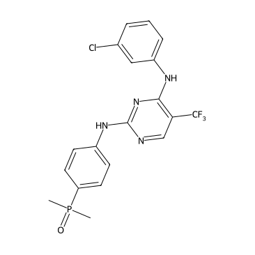 CP(C)(=O)c1ccc(Nc2ncc(C(F)(F)F)c(Nc3cccc(Cl)c3)n2)cc1